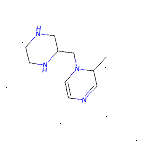 CC1C=NC=CN1CC1CNCCN1